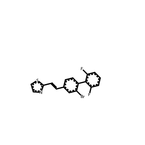 Fc1cccc(F)c1-c1ccc(C=Cc2nccs2)cc1Br